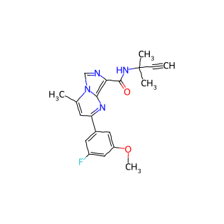 C#CC(C)(C)NC(=O)c1ncn2c(C)cc(-c3cc(F)cc(OC)c3)nc12